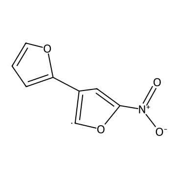 O=[N+]([O-])c1cc(-c2ccco2)[c]o1